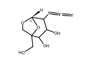 [N-]=[N+]=NC1C(O)C(O)C2(CO)CO[C@H]1O2